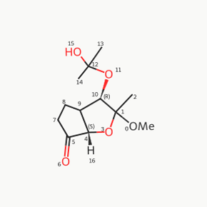 COC1(C)O[C@@H]2C(=O)CCC2[C@H]1OC(C)(C)O